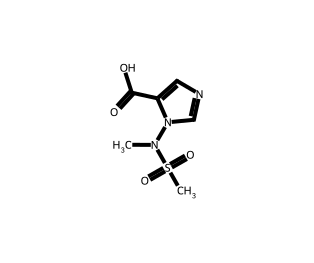 CN(n1cncc1C(=O)O)S(C)(=O)=O